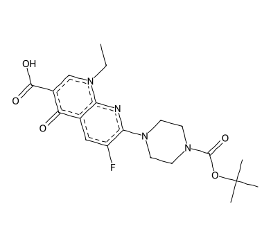 CCn1cc(C(=O)O)c(=O)c2cc(F)c(N3CCN(C(=O)OC(C)(C)C)CC3)nc21